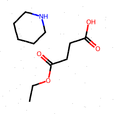 C1CCNCC1.CCOC(=O)CCC(=O)O